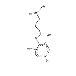 Cl.O=C(O)CCCOc1ccc(Cl)cc1Cl